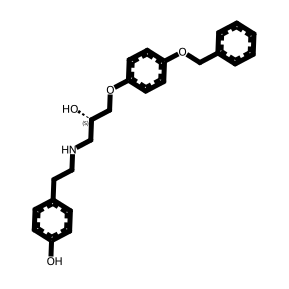 Oc1ccc(CCNC[C@H](O)COc2ccc(OCc3ccccc3)cc2)cc1